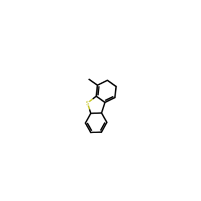 CC1=C2SC3C=CC=CC3C2=CCC1